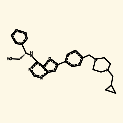 OC[C@@H](Nc1ncnc2cc(-c3ccc(CN4CCN(CC5CC5)CC4)cc3)oc12)c1ccccc1